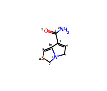 NC(=O)C1=CCN2CSC=C12